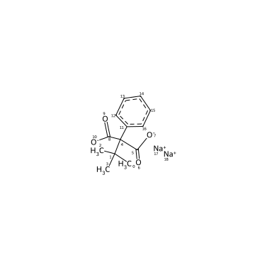 CC(C)(C)C(C(=O)[O-])(C(=O)[O-])c1ccccc1.[Na+].[Na+]